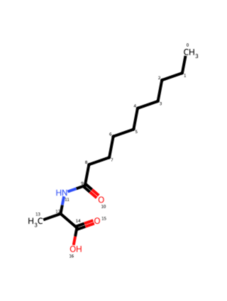 CCCCCCCCCC(=O)NC(C)C(=O)O